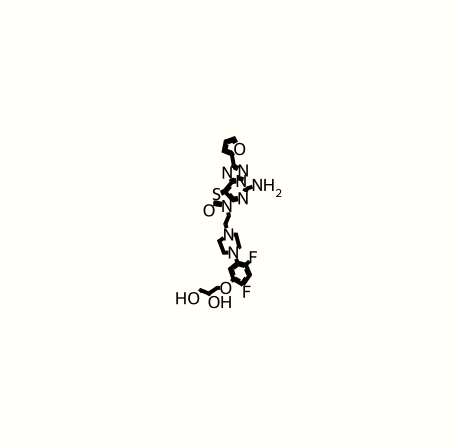 Nc1nc2c(sc(=O)n2CCN2CCN(c3cc(OC[C@@H](O)CO)c(F)cc3F)CC2)c2nc(-c3ccco3)nn12